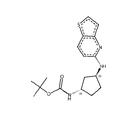 CC(C)(C)OC(=O)N[C@H]1CC[C@H](Nc2ccc3sccc3n2)C1